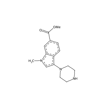 COC(=O)c1ccc2c(N3CCNCC3)cn(C)c2c1